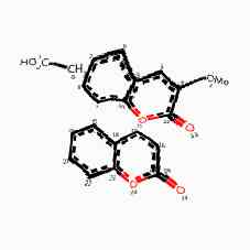 CC(=O)O.COc1cc2ccccc2oc1=O.O=c1ccc2ccccc2o1